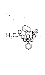 C=CC(=O)OC(OS(=O)(=O)c1ccccc1)C12CC3CC(C1)CC([N+](=O)[O-])(C3)C2